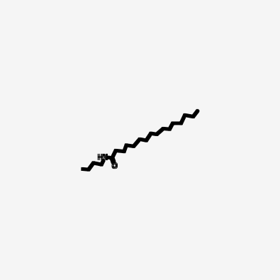 CCCCCCCCCCCCCCCC(=O)NCCCC